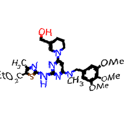 CCOC(=O)c1sc(Nc2nc(N(C)Cc3cc(OC)c(OC)c(OC)c3)cc(N3CCCC(CO)C3)n2)nc1C